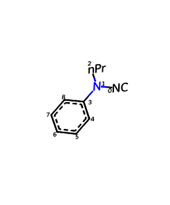 [C-]#[N+]N(CCC)c1ccccc1